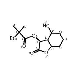 CCC(C)(C)C(=O)OC1C(=O)OC2CCCC(C#N)C21